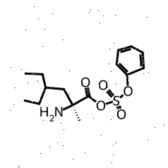 CCC(CC)C[C@](C)(N)C(=O)OS(=O)(=O)Oc1ccccc1